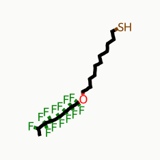 CC(F)C(F)(F)C(F)(F)C(F)(F)C(F)(F)C(F)(F)C(F)(F)OCCCCCCCCCCCS